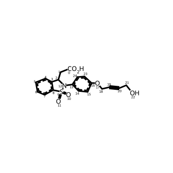 O=C(O)CC1c2ccccc2S(=O)(=O)N1c1ccc(OCC#CCO)cc1